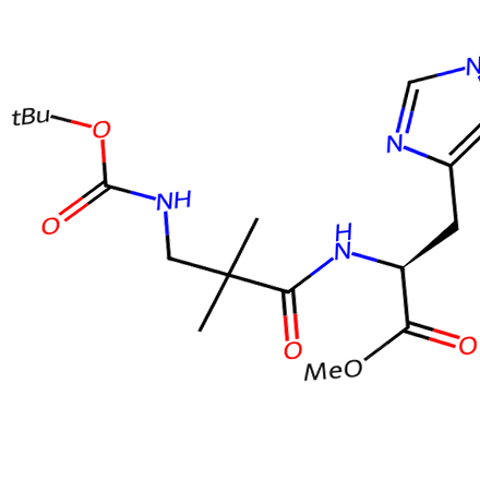 COC(=O)[C@H](Cc1c[nH]cn1)NC(=O)C(C)(C)CNC(=O)OC(C)(C)C